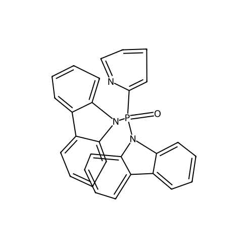 O=P(c1ccccn1)(n1c2ccccc2c2ccccc21)n1c2ccccc2c2ccccc21